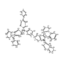 c1ccc(-c2ccc(N(c3ccc(-c4ccc5c(c4)c(-c4ccccc4)c(-c4ccccc4)n5-c4ccc5ccccc5c4)cc3)c3ccc(N(c4ccccc4)c4ccccc4)cc3)cc2)cc1